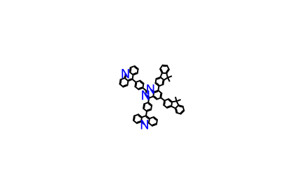 CC1(C)c2ccccc2-c2ccc(-c3cc(-c4ccc5c(c4)C(C)(C)c4ccccc4-5)c4nc(-c5ccc(-c6c7ccccc7nc7ccccc67)cc5)nc(-c5ccc(-c6c7ccccc7nc7ccccc67)cc5)c4c3)cc21